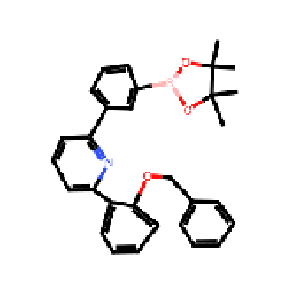 CC1(C)OB(c2cccc(-c3cccc(-c4ccccc4OCc4ccccc4)n3)c2)OC1(C)C